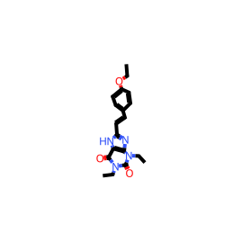 CCOc1ccc(C=Cc2nc3c([nH]2)c(=O)n(CC)c(=O)n3CC)cc1